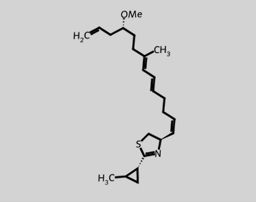 C=CC[C@@H](CC/C(C)=C/C=C/CC/C=C\[C@@H]1CSC([C@@H]2CC2C)=N1)OC